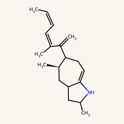 C=C(/C(C)=C\C=C/C)C1CC=C2NC(C)CC2C[C@H]1C